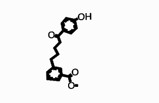 COC(=O)c1cccc(CCCCC(=O)c2ccc(O)cc2)c1